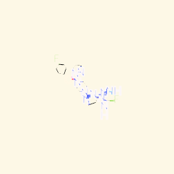 N=NN(C(=N)C(F)(F)F)c1ccnc(N2CCN(C(=O)N3N=CC[C@H]3c3cccc(F)c3)CC2)n1